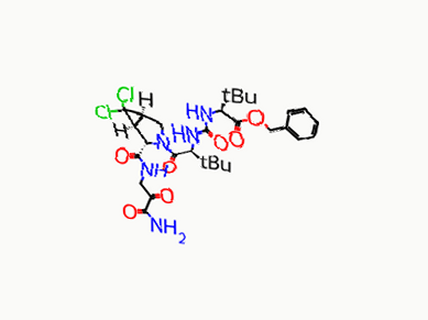 CC(C)(C)[C@H](NC(=O)N[C@H](C(=O)N1C[C@H]2[C@@H]([C@H]1C(=O)NCC(=O)C(N)=O)C2(Cl)Cl)C(C)(C)C)C(=O)OCc1ccccc1